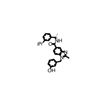 Cc1nc2cc(C(=O)N[C@@H](C)c3cccc(C(C)C)c3)ccc2n1Cc1cccc(O)c1